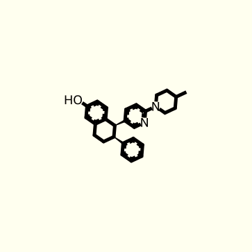 CC1CCN(c2ccc([C@@H]3c4ccc(O)cc4CC[C@@H]3c3ccccc3)cn2)CC1